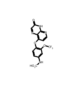 O=C(O)Nc1ccc(Oc2ccnc3[nH]c(=O)cnc23)c(OC(F)(F)F)c1